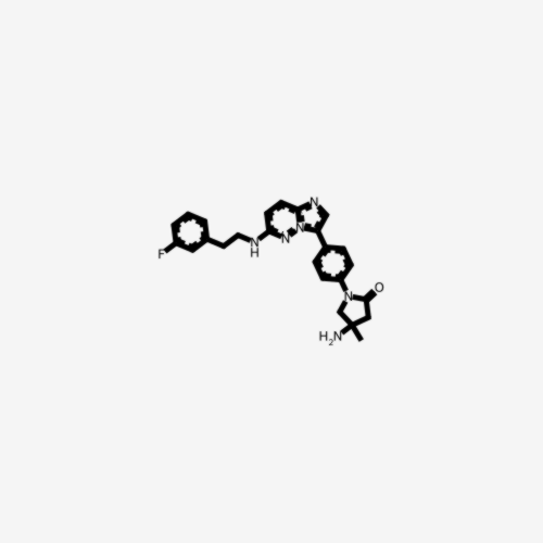 CC1(N)CC(=O)N(c2ccc(-c3cnc4ccc(NCCc5cccc(F)c5)nn34)cc2)C1